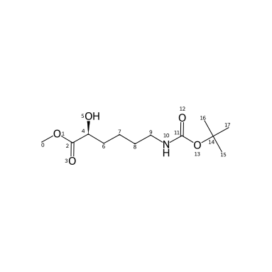 COC(=O)[C@@H](O)CCCCNC(=O)OC(C)(C)C